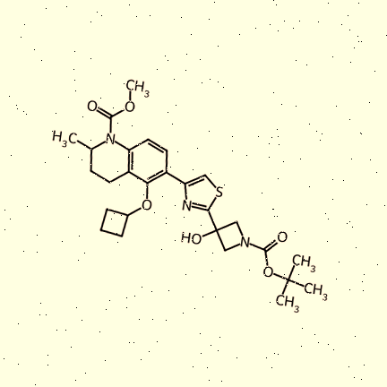 COC(=O)N1c2ccc(-c3csc(C4(O)CN(C(=O)OC(C)(C)C)C4)n3)c(OC3CCC3)c2CCC1C